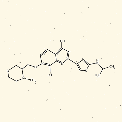 CC(C)Nc1nc(-c2cc(O)c3ccc(OCC4COCCN4C)c(Cl)c3n2)cs1